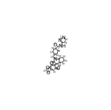 O=C(Nc1ccncn1)c1ccc(CN2C(=O)C3(COc4cc5c(cc43)OCO5)c3ccccc32)cc1